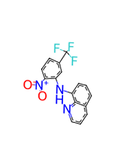 O=[N+]([O-])c1ccc(C(F)(F)F)cc1Nc1cccc2cccnc12